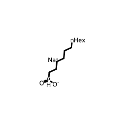 CCCCCCCCCCCC[PH](=O)[O-].[Na+]